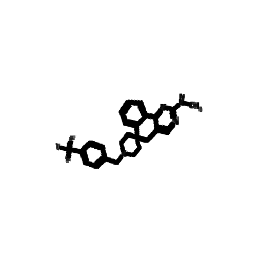 CNc1ncc2c(n1)-c1ccccc1C1(CCN(Cc3ccc(C(F)(F)F)cc3)CC1)C2